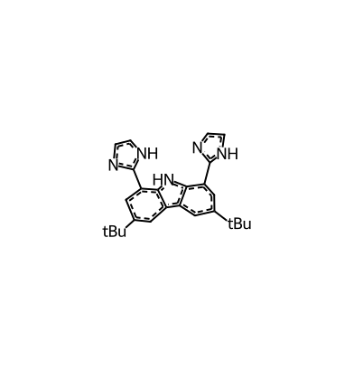 CC(C)(C)c1cc(-c2ncc[nH]2)c2[nH]c3c(-c4ncc[nH]4)cc(C(C)(C)C)cc3c2c1